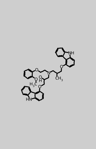 COc1ccccc1OCCN(CC(C)COc1cccc2[nH]c3ccccc3c12)CC(O)COc1cccc2[nH]c3ccccc3c12